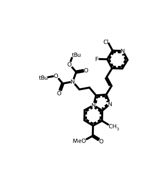 COC(=O)c1ccn2c(CCN(C(=O)OC(C)(C)C)C(=O)OC(C)(C)C)c(/C=C/c3ccnc(Cl)c3F)nc2c1C